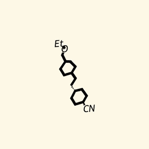 CCOCC1CCC(CC[C@H]2CC[C@H](C#N)CC2)CC1